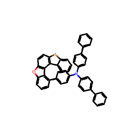 c1ccc(-c2ccc(N(c3ccc(-c4ccccc4)cc3)c3ccc(-c4cccc5oc6ccc7sc8ccccc8c7c6c45)cc3)cc2)cc1